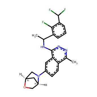 Cc1nnc(NC(C)c2cccc(C(F)F)c2F)c2cc(N3C[C@H]4C[C@@H]3CO4)ccc12